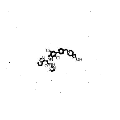 O=C(Nc1nccs1)C(c1ncn2c1CCC2)n1cc2c(Cl)cc(-c3ccc(CN4CCC5(CC4)CC(O)C5)cc3)c(Cl)c2n1